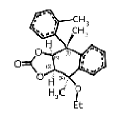 CCO[C@]1(C)c2ccccc2[C@@](C)(c2ccccc2C)[C@@H]2OC(=O)O[C@@H]21